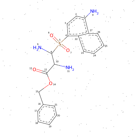 Nc1ccc(S(=O)(=O)C(N)C(N)C(=O)OCc2ccccc2)c2ccccc12